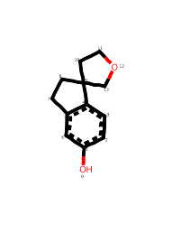 Oc1ccc2c(c1)CCC21CCOC1